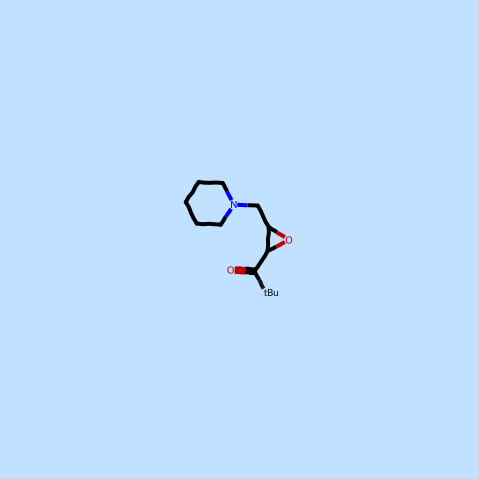 CC(C)(C)C(=O)C1OC1CN1CCCCC1